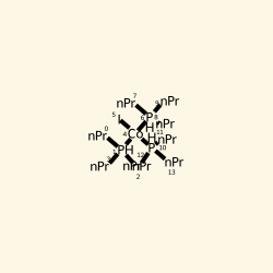 CCC[PH](CCC)(CCC)[Co]([I])([PH](CCC)(CCC)CCC)[PH](CCC)(CCC)CCC